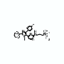 CN(C)CCCNc1nccc(-c2[nH]c(C3OCCCO3)nc2-c2ccc(F)cc2)n1